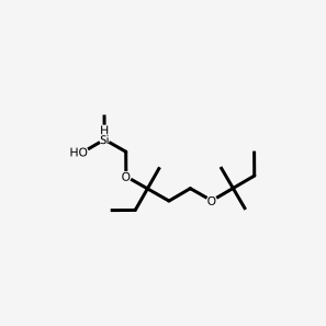 CCC(C)(C)OCCC(C)(CC)OC[SiH](C)O